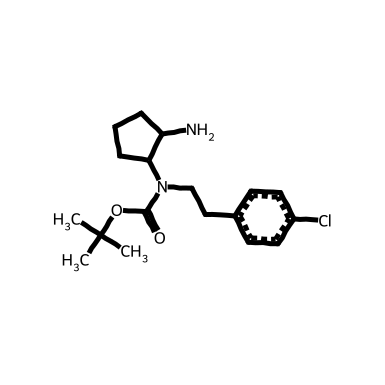 CC(C)(C)OC(=O)N(CCc1ccc(Cl)cc1)C1CCCC1N